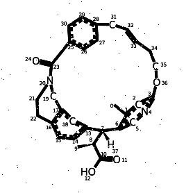 Cc1cc2ncc1[C@H]([C@H](C)C(=O)O)c1ccc3c(c1)CN(CC3)C(=O)c1ccc(cc1)C/C=C/CCO2